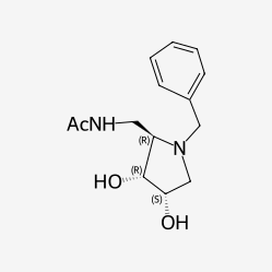 CC(=O)NC[C@@H]1[C@@H](O)[C@@H](O)CN1Cc1ccccc1